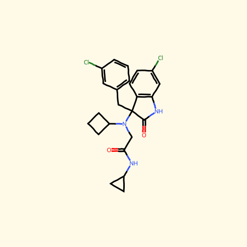 O=C(CN(C1CCC1)C1(Cc2cccc(Cl)c2)C(=O)Nc2cc(Cl)ccc21)NC1CC1